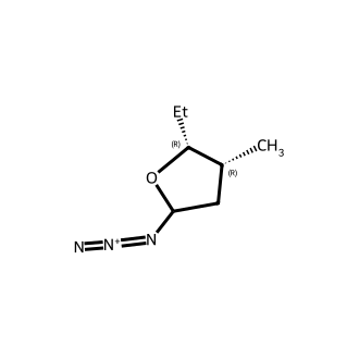 CC[C@H]1OC(N=[N+]=[N-])C[C@H]1C